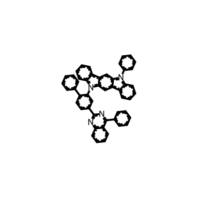 c1ccc(-c2ccc(-c3nc(-c4ccccc4)c4ccccc4n3)cc2-n2c3ccccc3c3cc4c(cc32)c2ccccc2n4-c2ccccc2)cc1